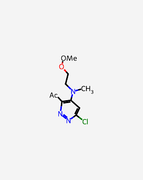 COOCCN(C)c1cc(Cl)nnc1C(C)=O